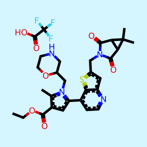 CCOC(=O)c1cc(-c2ccnc3cc(CN4C(=O)C5C(C4=O)C5(C)C)sc23)n(CC2CNCCO2)c1C.O=C(O)C(F)(F)F